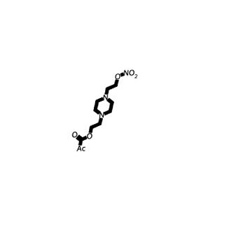 CC(=O)C(=O)OCCN1CCN(CCO[N+](=O)[O-])CC1